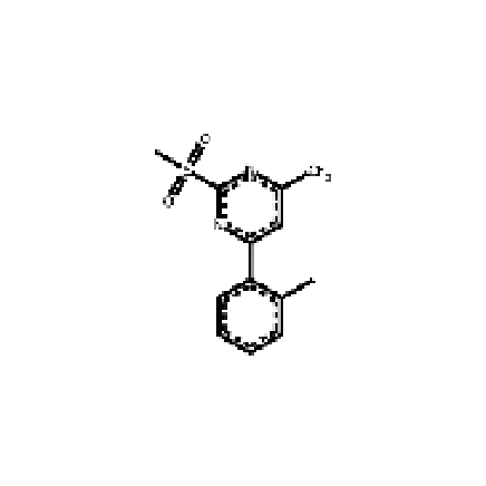 Cc1ccccc1-c1cc(C(F)(F)F)nc(S(C)(=O)=O)n1